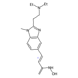 C=C(/C=C/c1ccc2c(c1)nc(CCN(CC)CC)n2C)NO